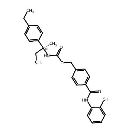 CCc1ccc([C@](C)(CC)NC(=O)OCc2ccc(C(=O)Nc3ccccc3S)cc2)cc1